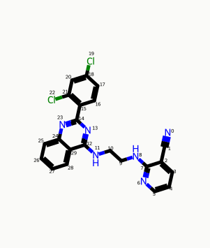 N#Cc1cccnc1NCCNc1nc(-c2ccc(Cl)cc2Cl)nc2ccccc12